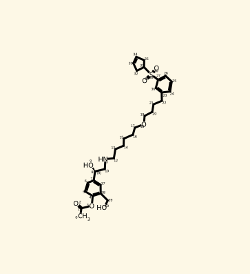 CC(=O)Oc1ccc([C@@H](O)CNCCCCCCOCCCCc2cccc(S(=O)(=O)C3CC=CC3)c2)cc1CO